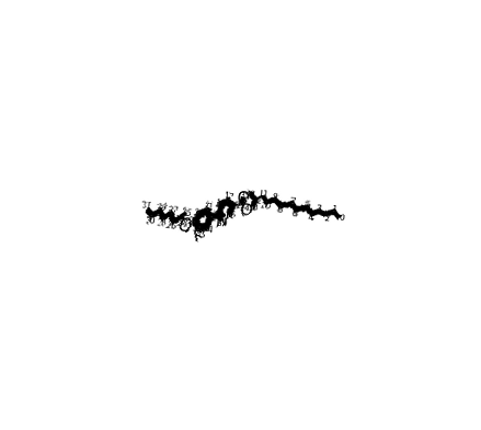 CCCCCCCCCCCC[C@H]1CO[C@H](c2ccc(-c3ccc(OCCCCCCC)c(F)c3)nc2)OC1